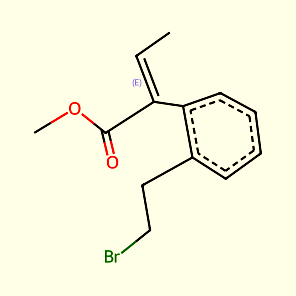 C/C=C(/C(=O)OC)c1ccccc1CCBr